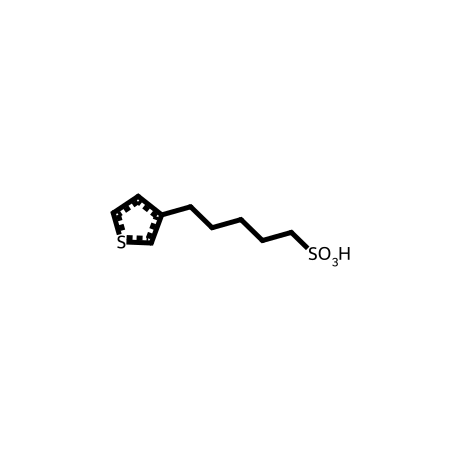 O=S(=O)(O)CCCCCc1ccsc1